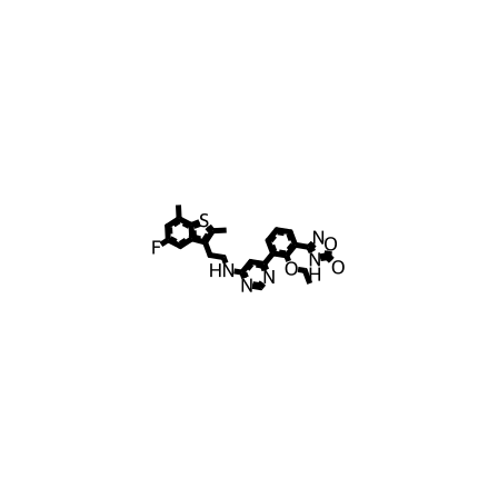 CCOc1c(-c2cc(NCCc3c(C)sc4c(C)cc(F)cc34)ncn2)cccc1-c1noc(=O)[nH]1